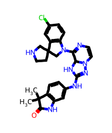 CC1(C)C(=O)Nc2cc(NC3=NN4C=CN=C(N5CC6(CCNC6)c6cc(Cl)ccc65)C4N3)ccc21